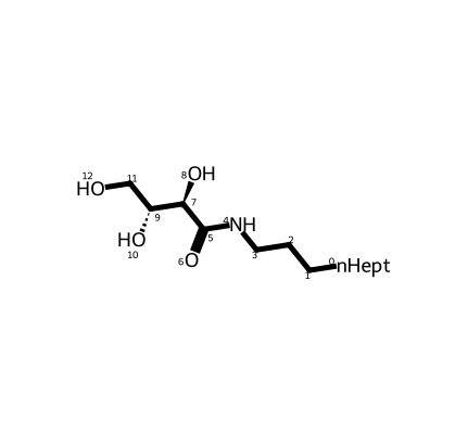 CCCCCCCCCCNC(=O)[C@H](O)[C@H](O)CO